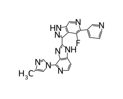 Cc1cn(-c2nccc3[nH]c(-c4n[nH]c5cnc(-c6cccnc6)c(F)c45)nc23)cn1